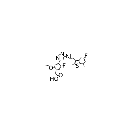 CCOc1cc(-c2cc(NCCc3c(C)sc4c(C)cc(F)cc34)ncn2)c(F)cc1CC(=O)O